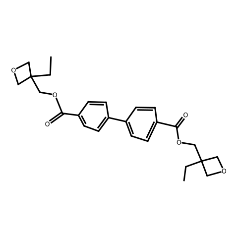 CCC1(COC(=O)c2ccc(-c3ccc(C(=O)OCC4(CC)COC4)cc3)cc2)COC1